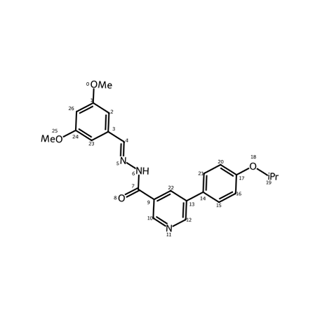 COc1cc(/C=N/NC(=O)c2cncc(-c3ccc(OC(C)C)cc3)c2)cc(OC)c1